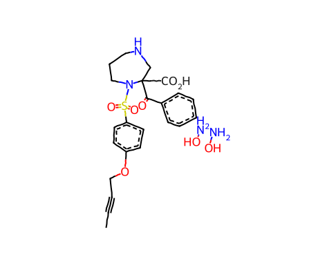 CC#CCOc1ccc(S(=O)(=O)N2CCCNCC2(C(=O)O)C(=O)c2ccccc2)cc1.NO.NO